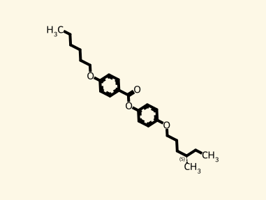 CCCCCCOc1ccc(C(=O)Oc2ccc(OCCC[C@@H](C)CC)cc2)cc1